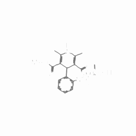 CC(=O)O.COC(=O)C1=C(C)NC(C)=C(C(=O)OC)C1c1ccccc1[N+](=O)[O-]